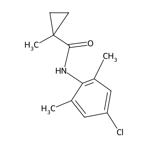 Cc1cc(Cl)cc(C)c1NC(=O)C1(C)CC1